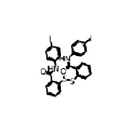 O=C(Nc1ccc(I)cc1)c1ccccc1SSc1ccccc1C(=O)Nc1ccc(I)cc1